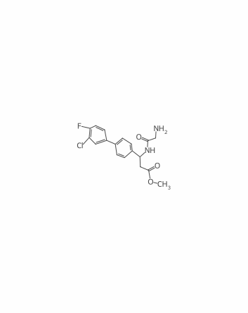 COC(=O)CC(NC(=O)CN)c1ccc(-c2ccc(F)c(Cl)c2)cc1